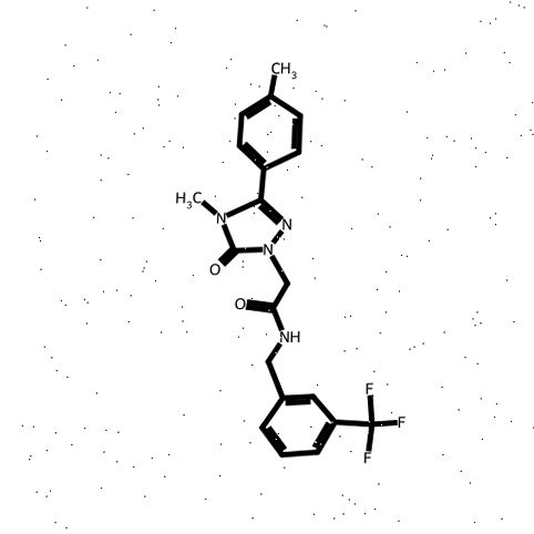 Cc1ccc(-c2nn(CC(=O)NCc3cccc(C(F)(F)F)c3)c(=O)n2C)cc1